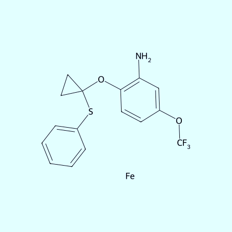 Nc1cc(OC(F)(F)F)ccc1OC1(Sc2ccccc2)CC1.[Fe]